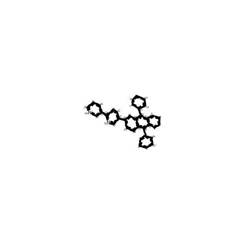 c1ccc(-c2c3ccccc3c(-c3ccccc3)c3cc(-c4ccc(-c5cccnc5)nc4)ccc23)cc1